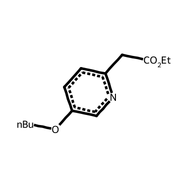 CCCCOc1ccc(CC(=O)OCC)nc1